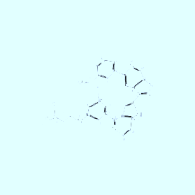 COc1cncc(-c2cc3c(-c4cc5c(-c6cc(F)cc(NCCN(C)C)c6)nccc5[nH]4)n[nH]c3cn2)c1